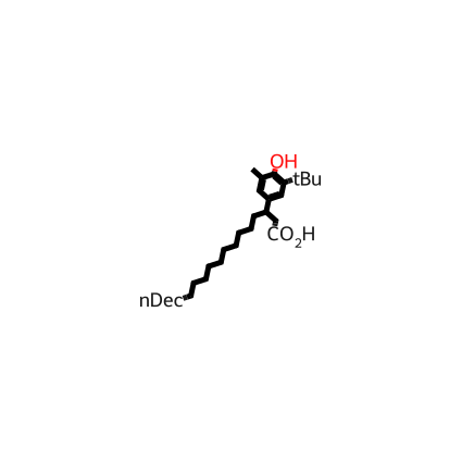 CCCCCCCCCCCCCCCCCCCCC(CC(=O)O)c1cc(C)c(O)c(C(C)(C)C)c1